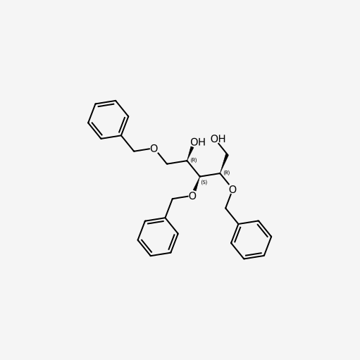 OC[C@@H](OCc1ccccc1)[C@@H](OCc1ccccc1)[C@H](O)COCc1ccccc1